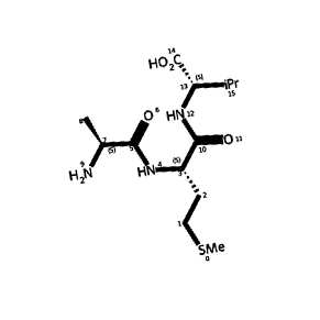 CSCC[C@H](NC(=O)[C@H](C)N)C(=O)N[C@H](C(=O)O)C(C)C